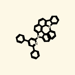 c1ccc(-c2cc(-c3ccccc3)nc(-n3c4ccccc4c4c5c(ccc6c7ccccc7n(-c7ccccc7)c65)ccc43)c2)cc1